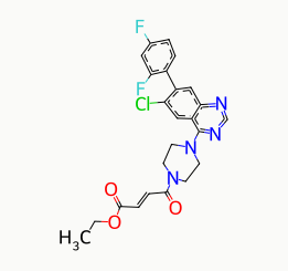 CCOC(=O)/C=C/C(=O)N1CCN(c2ncnc3cc(-c4ccc(F)cc4F)c(Cl)cc23)CC1